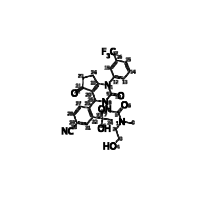 CN(CCO)C(=O)CN1C(=O)N(c2cccc(C(F)(F)F)c2)C2=C(C(=O)CC2)C1c1ccc(C#N)cc1C(C)(O)O